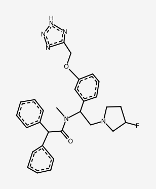 CN(C(=O)C(c1ccccc1)c1ccccc1)C(CN1CCC(F)C1)c1cccc(OCc2nn[nH]n2)c1